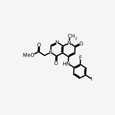 COC(=O)Cn1cnc2c(c(Nc3ccc(I)cc3F)cc(=O)n2C)c1=O